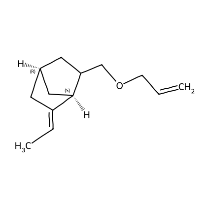 C=CCOCC1C[C@@H]2CC(=CC)[C@H]1C2